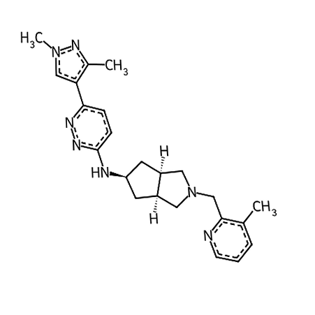 Cc1cccnc1CN1C[C@H]2C[C@@H](Nc3ccc(-c4cn(C)nc4C)nn3)C[C@H]2C1